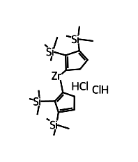 C[Si](C)(C)C1=CC[C]([Zr][C]2=C([Si](C)(C)C)C([Si](C)(C)C)=CC2)=C1[Si](C)(C)C.Cl.Cl